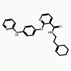 O=C(NCCC1=CCCCC1)c1cccnc1Oc1ccc(Nc2ccccn2)cc1